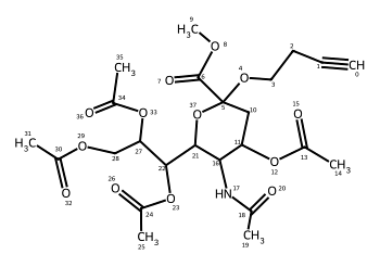 C#CCCOC1(C(=O)OC)CC(OC(C)=O)C(NC(C)=O)C(C(OC(C)=O)C(COC(C)=O)OC(C)=O)O1